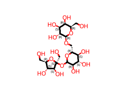 OC[C@H]1O[C@@H](OC[C@H]2OC(O[C@]3(CO)O[C@H](CO)[C@@H](O)[C@@H]3O)[C@H](O)[C@@H](O)[C@@H]2O)[C@H](O)[C@@H](O)[C@H]1O